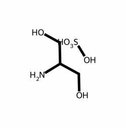 NC(CO)CO.O=S(=O)(O)O